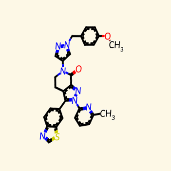 COc1ccc(Cn2cc(N3CCc4c(nn(-c5cccc(C)n5)c4-c4ccc5ncsc5c4)C3=O)cn2)cc1